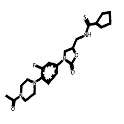 CC(=O)N1CCN(c2ccc(N3CC(CNC(=S)C4CCCC4)OC3=O)cc2F)CC1